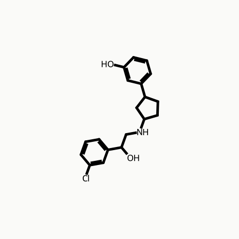 Oc1cccc(C2CCC(NCC(O)c3cccc(Cl)c3)C2)c1